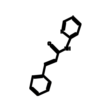 O=C(C=Cc1ccccc1)Nc1cc[c]cn1